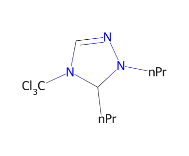 CCCC1N(CCC)N=CN1C(Cl)(Cl)Cl